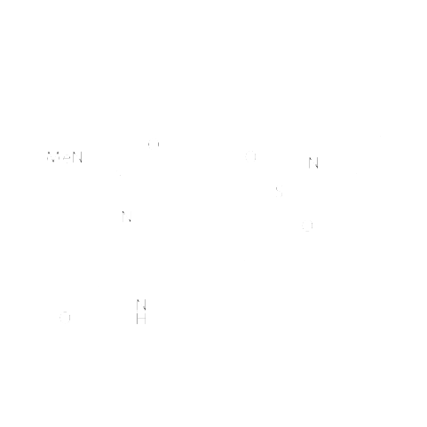 CNC(=O)N1CC(=O)Nc2ccc(S(=O)(=O)N3CCCC3)cc21